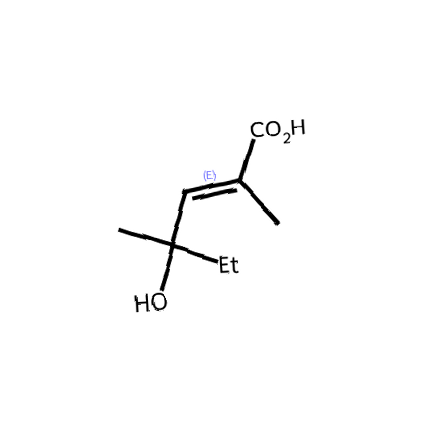 CCC(C)(O)/C=C(\C)C(=O)O